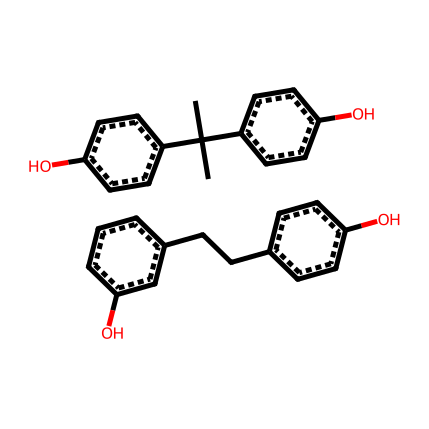 CC(C)(c1ccc(O)cc1)c1ccc(O)cc1.Oc1ccc(CCc2cccc(O)c2)cc1